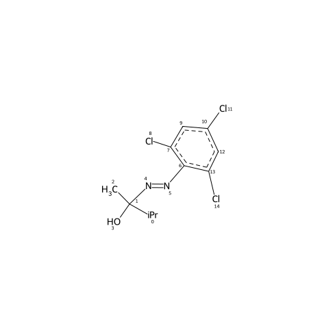 CC(C)C(C)(O)N=Nc1c(Cl)cc(Cl)cc1Cl